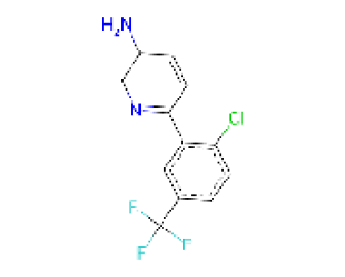 NC1C=CC(c2cc(C(F)(F)F)ccc2Cl)=NC1